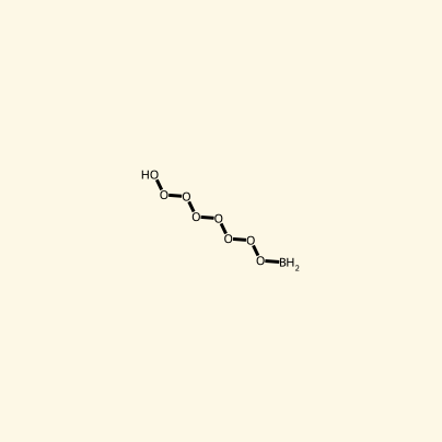 BOOOOOOOO